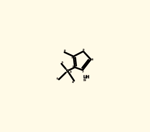 CC1=C([Si](C)(C)C)C=CC1.[LiH]